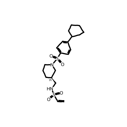 C=CS(=O)(=O)NC[C@H]1CCCN(S(=O)(=O)c2ccc(C3CCCCC3)cc2)C1